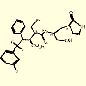 CC(C)C[C@@H](C(=O)N[C@H](CO)C[C@@H]1CCNC1=O)N(C(=O)O)C(c1ccccc1)C(F)(F)c1cccc(Cl)c1